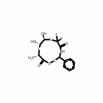 C[C@@H]1C[C@H](O)[C@@H](O)CC(F)(F)C(=O)NC(c2ccccc2)COC1=O